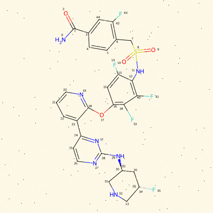 NC(=O)c1ccc(CS(=O)(=O)Nc2c(F)cc(Oc3ncccc3-c3ccnc(N[C@@H]4CNC[C@@H](F)C4)n3)c(F)c2F)c(F)c1